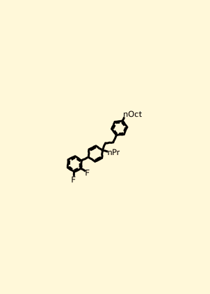 CCCCCCCCc1ccc(CCC2(CCC)C=CC(c3cccc(F)c3F)C=C2)cc1